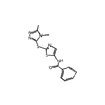 Cc1nnc(Sc2ncc(NC(=O)c3ccccc3)s2)n1C